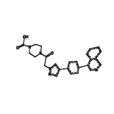 O=C(O)N1CCN(C(=O)Cn2cc(-c3ccc(-c4cncc5ccccc45)cc3)cn2)CC1